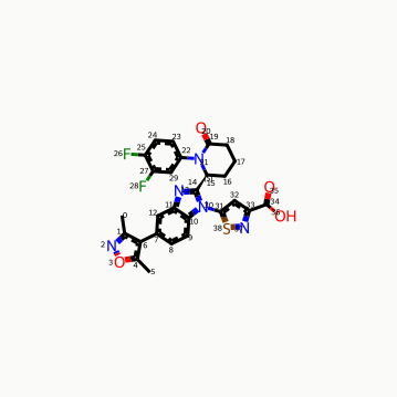 Cc1noc(C)c1-c1ccc2c(c1)nc([C@@H]1CCCC(=O)N1c1ccc(F)c(F)c1)n2-c1cc(C(=O)O)ns1